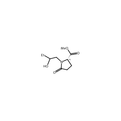 CCC(O)CN1C(=O)CC[C@H]1C(=O)OC